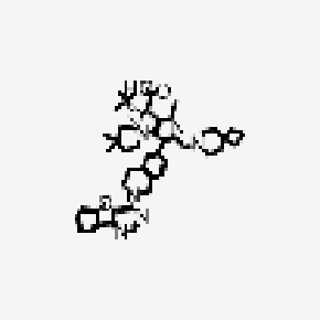 Cc1nc(CN2CCC3(CCC3)CC2)c(-c2ccc3c(c2)CCN(c2ncnc4c2oc2ccccc24)C3)c(N2CCC(C)(C)CC2)c1C(OC(C)(C)C)C(=O)O